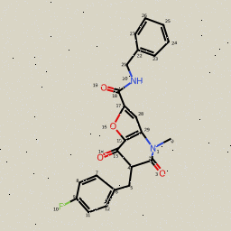 CN1C(=O)C(Cc2ccc(F)cc2)C(=O)c2oc(C(=O)NCc3ccccc3)cc21